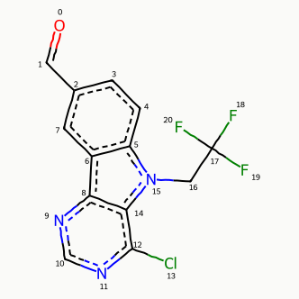 O=Cc1ccc2c(c1)c1ncnc(Cl)c1n2CC(F)(F)F